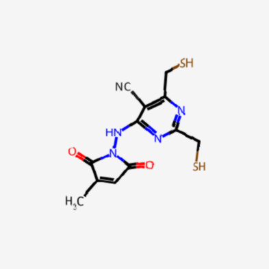 CC1=CC(=O)N(Nc2nc(CS)nc(CS)c2C#N)C1=O